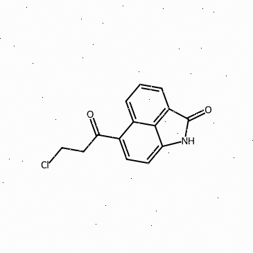 O=C(CCCl)c1ccc2c3c(cccc13)C(=O)N2